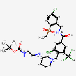 CCS(=O)(=O)c1ccc(Cl)cc1CNC(=O)c1cc(Cl)c(CN2CCC[C@H](NCCNC(=O)OC(C)(C)C)C2)c(C(F)(F)F)c1